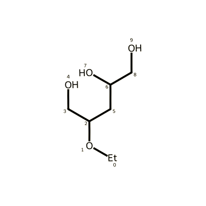 CCOC(CO)CC(O)CO